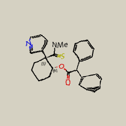 CNC(=S)[C@]1(c2cccnc2)CCCC[C@H]1OC(=O)C(c1ccccc1)c1ccccc1